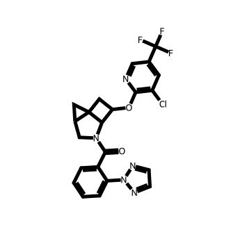 O=C(c1ccccc1-n1nccn1)N1CC2CC23CC(Oc2ncc(C(F)(F)F)cc2Cl)C13